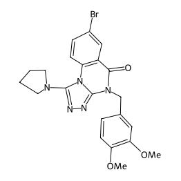 COc1ccc(Cn2c(=O)c3cc(Br)ccc3n3c(N4CCCC4)nnc23)cc1OC